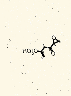 C=C(CC(=O)C1CO1)C(=O)O